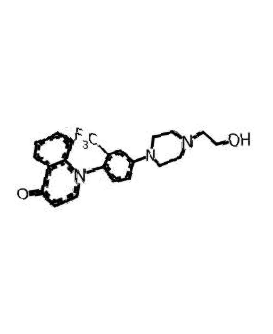 O=c1ccn(-c2ccc(N3CCN(CCO)CC3)cc2C(F)(F)F)c2ccccc12